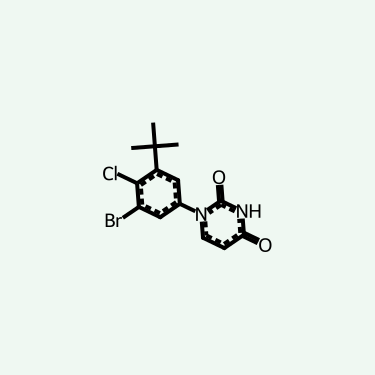 CC(C)(C)c1cc(-n2ccc(=O)[nH]c2=O)cc(Br)c1Cl